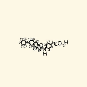 O=C(O)Cc1ccc(NC2=NC(=O)/C(=C\c3ccc(-c4ccccc4)cc3)O2)cc1